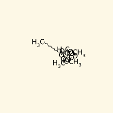 CCCCCCCCCCCC(=O)OCC(OC(C)=O)C(OC(C)=O)C(COC(C)=O)OC(C)=O